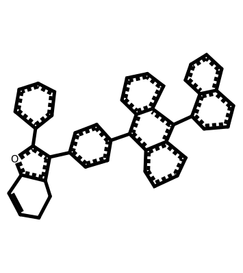 C1=Cc2oc(-c3ccccc3)c(-c3ccc(-c4c5ccccc5c(-c5cccc6ccccc56)c5ccccc45)cc3)c2CC1